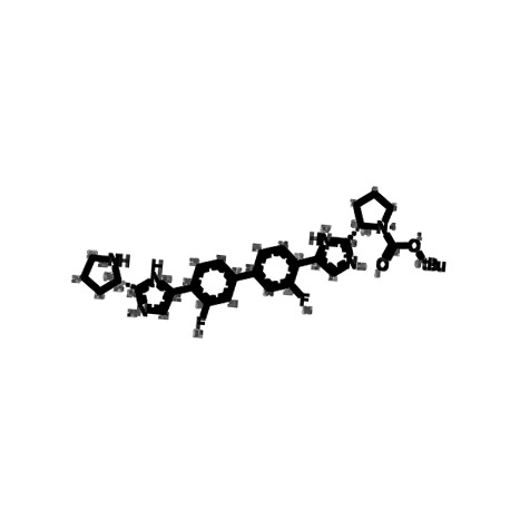 CC(C)(C)OC(=O)N1CCC[C@H]1c1ncc(-c2ccc(-c3ccc(-c4cnc([C@@H]5CCCN5)[nH]4)c(F)c3)cc2F)[nH]1